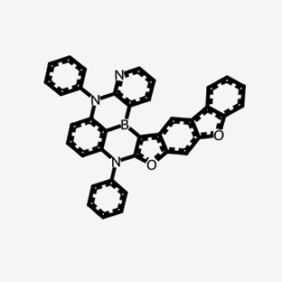 c1ccc(N2c3cccc4c3B(c3cccnc32)c2c(oc3cc5oc6ccccc6c5cc23)N4c2ccccc2)cc1